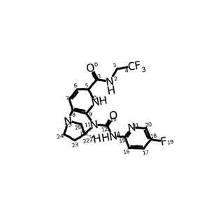 O=C(NCC(F)(F)F)C1C=CC2=C(N1)N(C(=O)Nc1ccc(F)cn1)[C@H]1CCN2C1